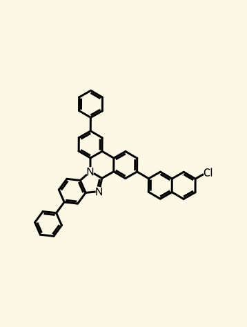 Clc1ccc2ccc(-c3ccc4c5cc(-c6ccccc6)ccc5n5c6ccc(-c7ccccc7)cc6nc5c4c3)cc2c1